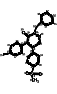 CS(=O)(=O)c1ccc(-c2cnn(Cc3ccccc3)c(=O)c2-c2ccc(F)cc2)cc1